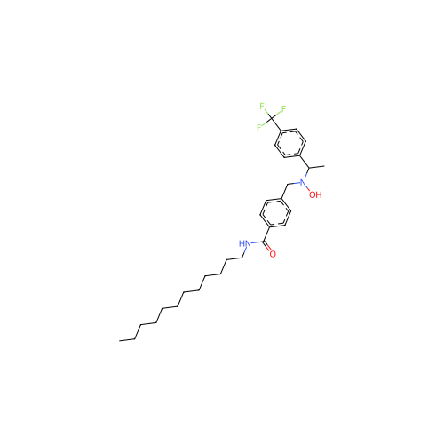 CCCCCCCCCCCCNC(=O)c1ccc(CN(O)C(C)c2ccc(C(F)(F)F)cc2)cc1